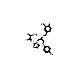 Clc1ccc(CSC(COc2ccc(Br)cc2)Cn2ccnc2)cc1Cl.O=C(O)C(=O)O